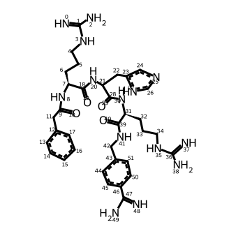 N=C(N)NCCC[C@H](NC(=O)Cc1ccccc1)C(=O)NC(Cc1cnc[nH]1)C(=O)N[C@@H](CCCNC(=N)N)C(=O)NCc1ccc(C(=N)N)cc1